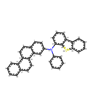 c1ccc(N(c2ccc3ccc4c5ccccc5ccc4c3c2)c2cccc3c2sc2ccccc23)cc1